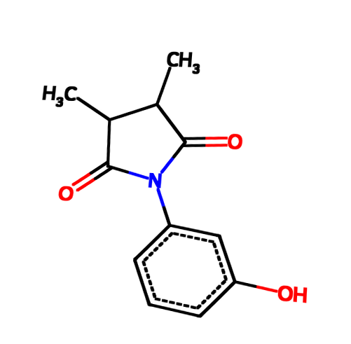 CC1C(=O)N(c2cccc(O)c2)C(=O)C1C